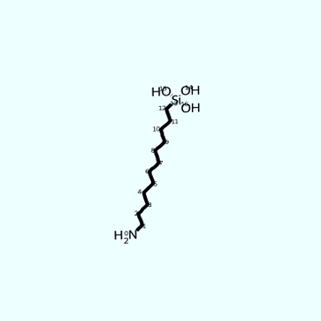 NCCCCCCCCCCCC[Si](O)(O)O